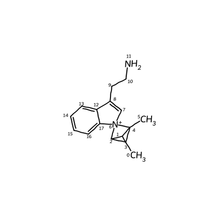 CC1C2CC1(C)[N+]21C=C(CCN)c2ccccc21